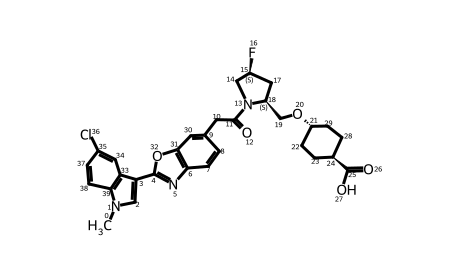 Cn1cc(-c2nc3ccc(CC(=O)N4C[C@@H](F)C[C@H]4CO[C@H]4CC[C@H](C(=O)O)CC4)cc3o2)c2cc(Cl)ccc21